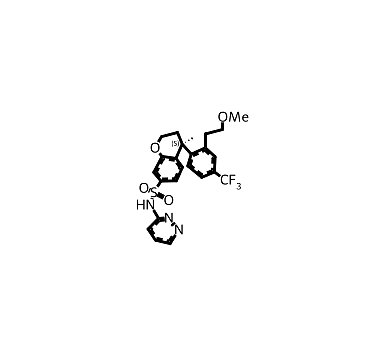 COCCc1cc(C(F)(F)F)ccc1[C@]1(C)CCOc2cc(S(=O)(=O)Nc3cccnn3)ccc21